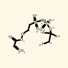 C=CC(=O)OOCCS(=O)(=O)NS(=O)(=O)OC(F)(F)CF